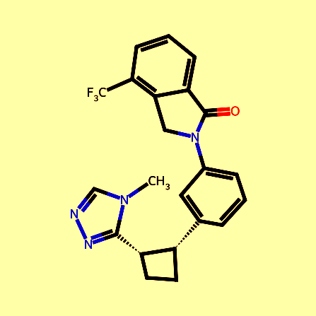 Cn1cnnc1[C@H]1CC[C@H]1c1cccc(N2Cc3c(cccc3C(F)(F)F)C2=O)c1